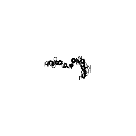 N#Cc1c(NS(=O)(=O)N2CC[C@@H](F)C2)ccc(F)c1Oc1ccc2ncn(-c3cccc([C@H]4CCN(CC5CCN(c6ccc7c(c6)CN([C@H]6CCC(=O)NC6=O)C7=O)CC5)C4)c3)c(=O)c2c1